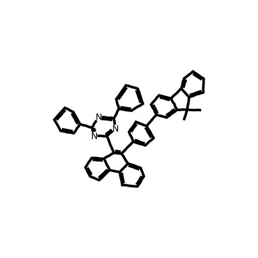 CC1(C)c2ccccc2-c2ccc(-c3ccc(-c4c(-c5nc(-c6ccccc6)nc(-c6ccccc6)n5)c5ccccc5c5ccccc45)cc3)cc21